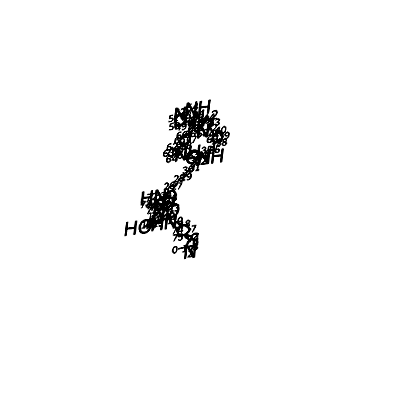 Cc1ncsc1-c1ccc(CNC(=O)[C@@H]2C[C@@H](O)CN2C(=O)[C@@H](NC(=O)CCCCCCC(=O)NCCc2cccc(-c3ccc4nc(-c5cccnc5N)n(-c5ccc(C6(N)CCC6)cc5)c4n3)c2)C(C)(C)C)cc1